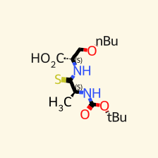 CCCCOC[C@H](NC(=S)[C@H](C)NC(=O)OC(C)(C)C)C(=O)O